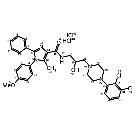 COc1ccc(-n2c(-c3ccccc3)nc(C(=O)NCC(O)CN3CCN(c4cccc(Cl)c4Cl)CC3)c2C)cc1.Cl.Cl